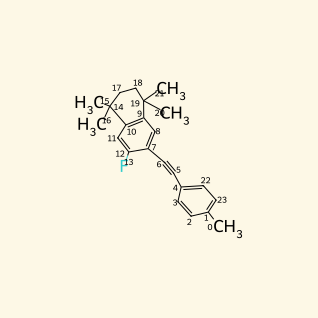 Cc1ccc(C#Cc2cc3c(cc2F)C(C)(C)CCC3(C)C)cc1